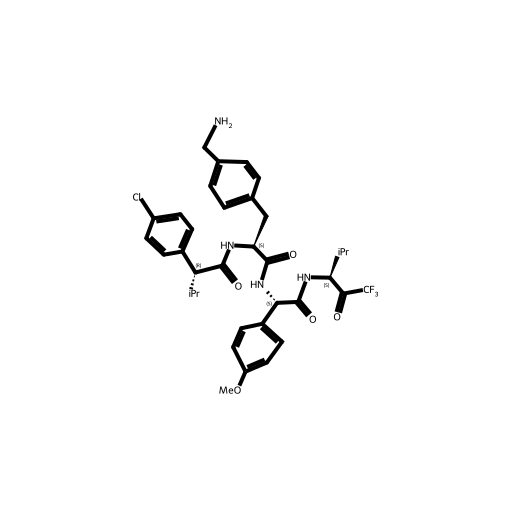 COc1ccc([C@H](NC(=O)[C@H](Cc2ccc(CN)cc2)NC(=O)[C@@H](c2ccc(Cl)cc2)C(C)C)C(=O)N[C@H](C(=O)C(F)(F)F)C(C)C)cc1